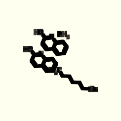 CC(C)(C)CCCCCC(=O)O.Oc1ccc2ccccc2n1.Oc1ccc2ccccc2n1.[BiH3]